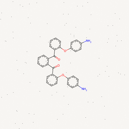 Nc1ccc(Oc2ccccc2C(=O)c2ccccc2C(=O)c2ccccc2Oc2ccc(N)cc2)cc1